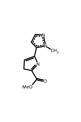 COC(=O)C1=NC(c2ccnn2C)=CC1